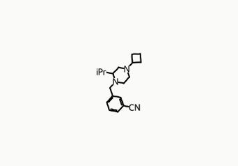 CC(C)C1CN(C2CCC2)CCN1Cc1cccc(C#N)c1